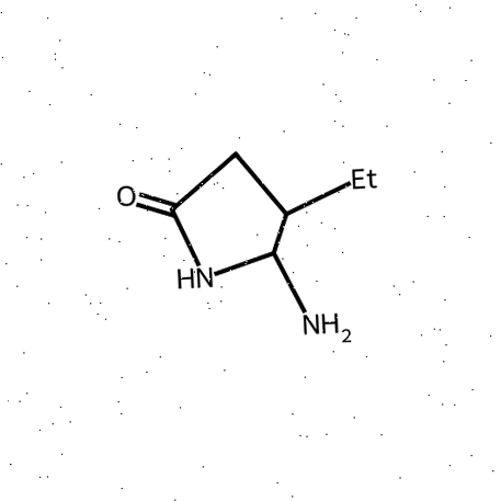 CCC1CC(=O)NC1N